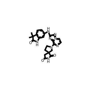 CC1(C)C(=O)Nc2cc(Nc3nc4c(N5CCC6(CC(=O)NC6=O)C5)nccn4n3)ccc21